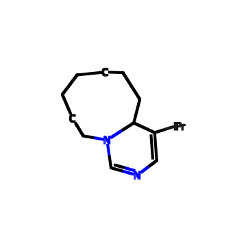 CC(C)C1=CN=CN2CCCCCCCC12